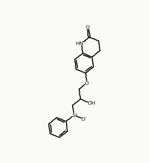 O=C1CCc2cc(OCC(O)C[S+]([O-])c3ccccc3)ccc2N1